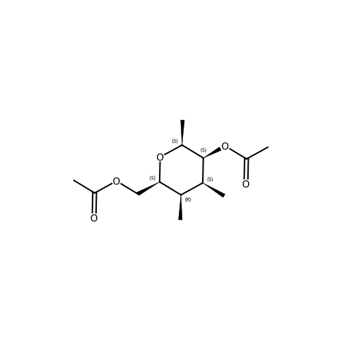 CC(=O)OC[C@H]1O[C@@H](C)[C@@H](OC(C)=O)[C@@H](C)[C@H]1C